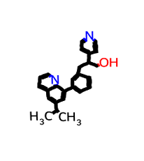 CC(C)c1cc(-c2cccc(CC(CO)c3ccncc3)c2)c2ncccc2c1